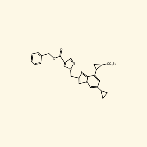 CCOC(=O)C1CC1c1cc(C2CC2)cn2cc(Cn3cc(C(=O)OCc4ccccc4)cn3)nc12